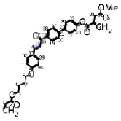 C=CC(=O)OCCCCOc1ccc(/C=C/C(=O)c2ccc(-c3ccc(OC(=O)C(=C)CC(=O)OC)cc3)cc2)cc1